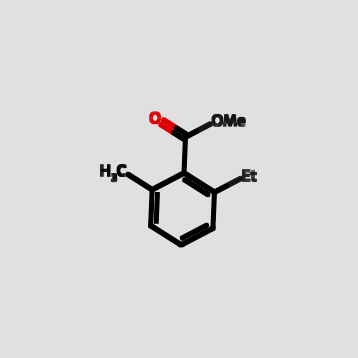 CCc1cccc(C)c1C(=O)OC